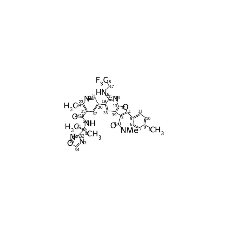 CNC(=O)c1c(-c2ccc(C)cc2)oc2nc(NCC(F)(F)F)c(-c3cnc(C)c(C(=O)NC(C)(C)c4ncon4)c3)cc12